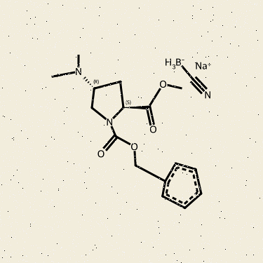 COC(=O)[C@@H]1C[C@@H](N(C)C)CN1C(=O)OCc1ccccc1.[BH3-]C#N.[Na+]